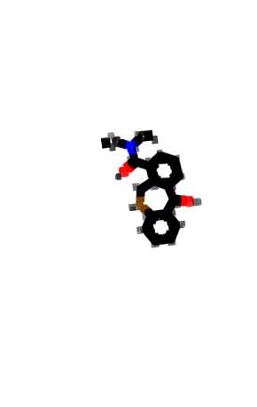 CN(C)C(=O)c1cccc2c1CSc1ccccc1C2=O